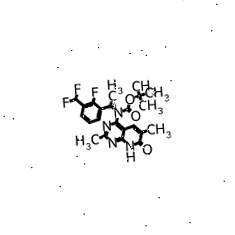 Cc1nc(N(C(=O)OC(C)(C)C)[C@H](C)c2cccc(C(F)F)c2F)c2cc(C)c(=O)[nH]c2n1